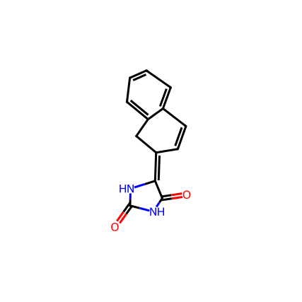 O=C1NC(=O)C(=C2C=Cc3ccccc3C2)N1